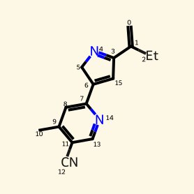 C=C(CC)C1=NCC(c2cc(C)c(C#N)cn2)=C1